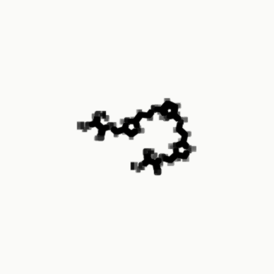 C=C(C)C(=O)OCC1CSC(CCSc2ccc(SCCC3SCC(COC(=O)C(=C)C)S3)s2)S1